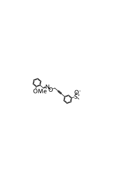 COc1ccccc1/C=N/OCC#Cc1cccc([S+](C)[O-])c1